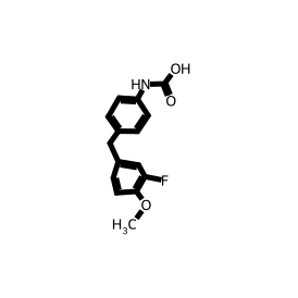 COc1ccc(Cc2ccc(NC(=O)O)cc2)cc1F